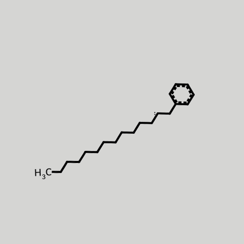 CCCCCCCCCCCC[C]Cc1ccccc1